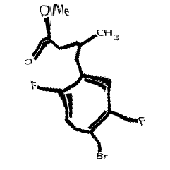 COC(=O)C(C)c1cc(F)c(Br)cc1F